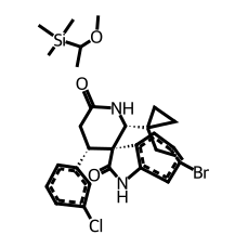 CCC1([C@H]2NC(=O)C[C@@H](c3cccc(Cl)c3)[C@]23C(=O)Nc2cc(Br)ccc23)CC1.COC(C)[Si](C)(C)C